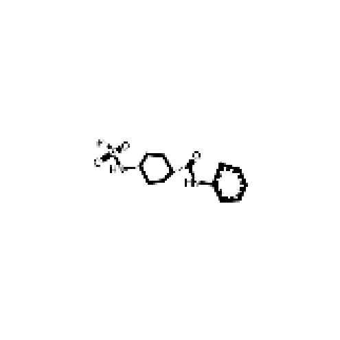 CC(C)S(=O)(=O)N[C@H]1CC[C@H](C(=O)Nc2ccccc2)CC1